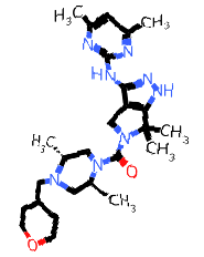 Cc1cc(C)nc(Nc2n[nH]c3c2CN(C(=O)N2C[C@@H](C)N(CC4CCOCC4)C[C@@H]2C)C3(C)C)n1